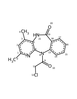 Cc1cc(C)c2c(n1)N(C(=O)CCl)c1ccccc1C(=O)N2